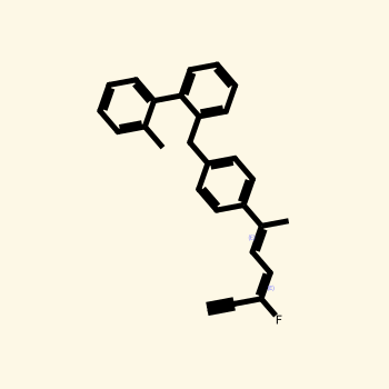 C#C/C(F)=C\C=C(/C)c1ccc(Cc2ccccc2-c2ccccc2C)cc1